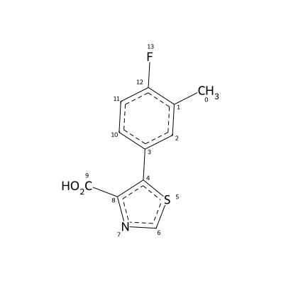 Cc1cc(-c2scnc2C(=O)O)ccc1F